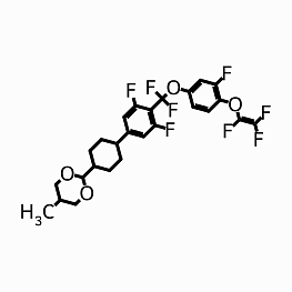 CC1COC(C2CCC(c3cc(F)c(C(F)(F)Oc4ccc(OC(F)=C(F)F)c(F)c4)c(F)c3)CC2)OC1